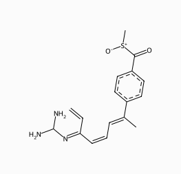 C=CC(/C=C\C=C(/C)c1ccc(C(=O)[S+](C)[O-])cc1)=N\C(N)N